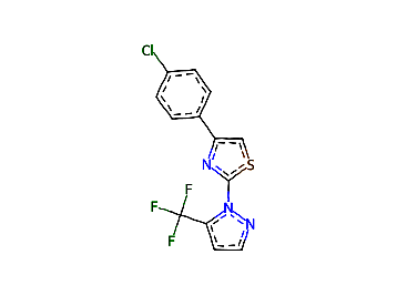 FC(F)(F)c1ccnn1-c1nc(-c2ccc(Cl)cc2)cs1